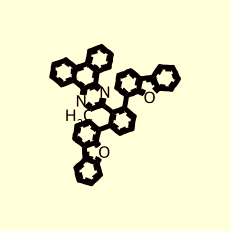 Cc1nc2c3ccccc3c3ccccc3c2nc1-c1c(-c2cccc3c2oc2ccccc23)cccc1-c1cccc2c1oc1ccccc12